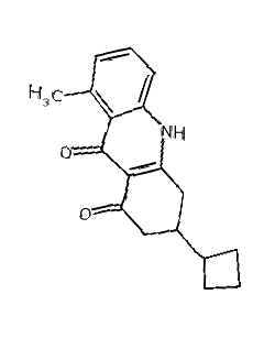 Cc1cccc2[nH]c3c(c(=O)c12)C(=O)CC(C1CCC1)C3